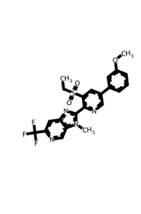 CCS(=O)(=O)c1cc(-c2cccc(OC)c2)cnc1-c1nc2cc(C(F)(F)F)ncc2n1C